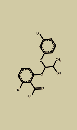 CC(=O)c1c(O)cccc1OC(Oc1cccc(C)c1)C(C)O